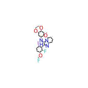 COc1cccc2nc(-c3c(I)ccc(OCF)c3F)c(Nc3ccc4c(c3)OCCO4)n12